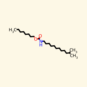 CCCCCCCCOC(=O)NCCCCCCCCCCC(C)C